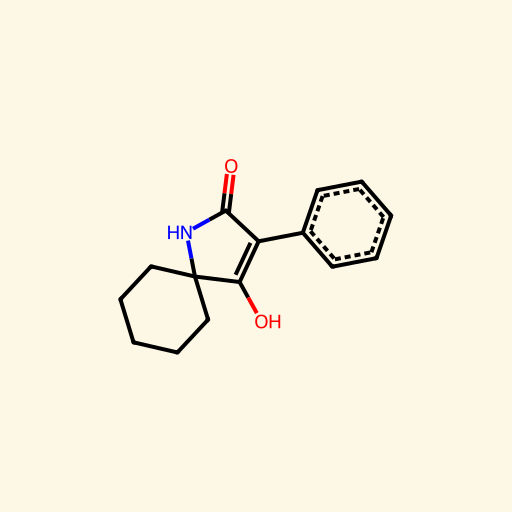 O=C1NC2(CCCCC2)C(O)=C1c1ccccc1